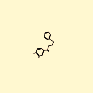 O=C(C[C@@H](Cc1ccccc1)C(=O)O)c1ccc(Cl)c(Cl)c1